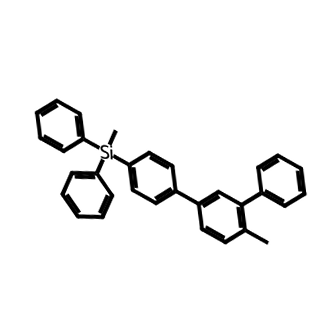 Cc1ccc(-c2ccc([Si](C)(c3ccccc3)c3ccccc3)cc2)cc1-c1ccccc1